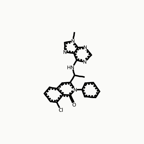 CC(Nc1ncnc2c1ncn2C)c1cc2cccc(Cl)c2c(=O)n1-c1ccccc1